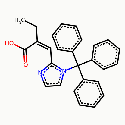 CCC(=Cc1nccn1C(c1ccccc1)(c1ccccc1)c1ccccc1)C(=O)O